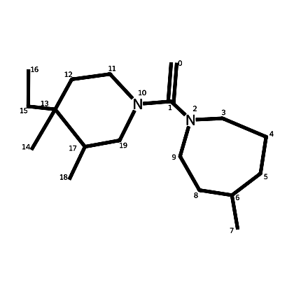 C=C(N1CCCC(C)CC1)N1CCC(C)(CC)C(C)C1